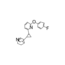 Fc1ccc(Oc2cccc([C]3CC3C3CN4CCC3CC4)n2)cc1